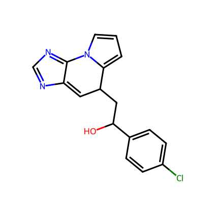 OC(CC1C=C2N=CN=C2n2cccc21)c1ccc(Cl)cc1